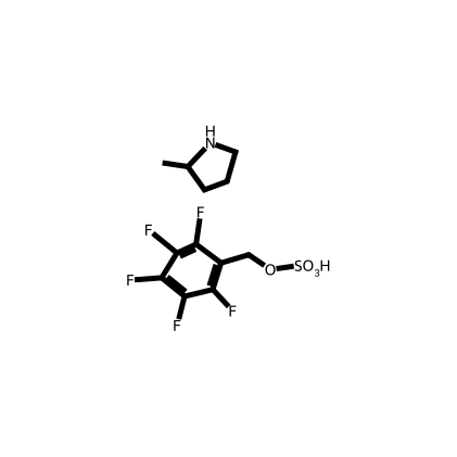 CC1CCCN1.O=S(=O)(O)OCc1c(F)c(F)c(F)c(F)c1F